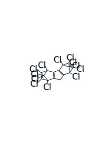 ClC1=C(Cl)C2(Cl)C3=C(CC4=C3C3(Cl)C(Cl)=C(Cl)C4(Cl)C3(Cl)Cl)C1(Cl)C2(Cl)Cl